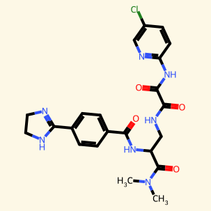 CN(C)C(=O)C(CNC(=O)C(=O)Nc1ccc(Cl)cn1)NC(=O)c1ccc(C2=NCCN2)cc1